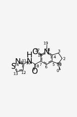 C[C@@H]1CCc2c1cc(C(=O)Nc1ccsn1)c(=O)n2C